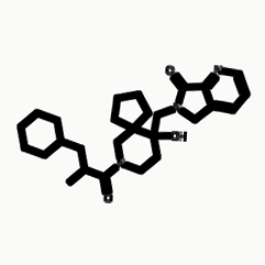 CC(CC1CCCCC1)C(=O)N1CCC(O)(CN2Cc3cccnc3C2=O)C2(CCCC2)C1